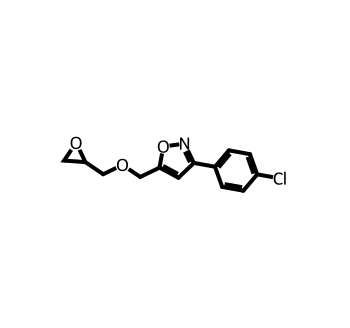 Clc1ccc(-c2cc(COCC3CO3)on2)cc1